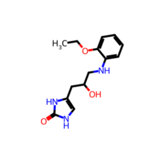 CCOc1ccccc1NCC(O)Cc1c[nH]c(=O)[nH]1